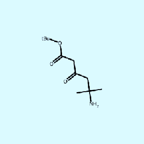 CC(C)(N)CC(=O)CC(=O)OC(C)(C)C